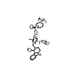 Cc1n(CC2CCc3c(c4ccccc4n3C)C2=O)cc[n+]1COC(=O)N1CCC[C@@H](N)C1.Cl.[Cl-]